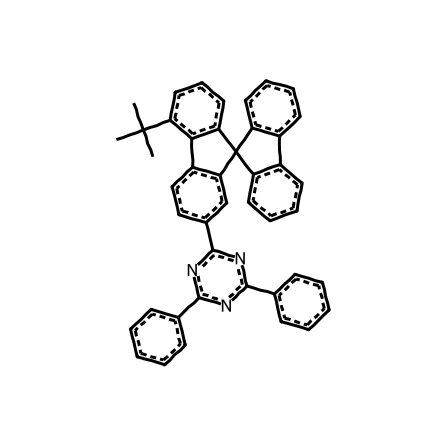 CC(C)(C)c1cccc2c1-c1ccc(-c3nc(-c4ccccc4)nc(-c4ccccc4)n3)cc1C21c2ccccc2-c2ccccc21